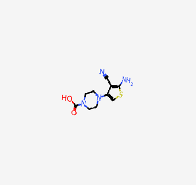 N#Cc1c(N2CCN(C(=O)O)CC2)csc1N